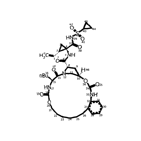 C=C[C@@H]1C[C@]1(NC(=O)[C@@H]1C[C@@H]2CN1C(=O)[C@H](CCCC)NC(=O)OCCCCCCc1ccccc1NC(=O)O2)C(=O)NS(=O)(=O)C1CC1